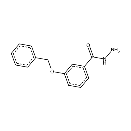 NNC(=O)c1cccc(OCc2ccccc2)c1